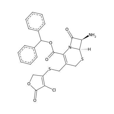 N[C@@H]1C(=O)N2C(C(=O)OC(c3ccccc3)c3ccccc3)=C(CSC3=C(Cl)C(=O)OC3)CS[C@H]12